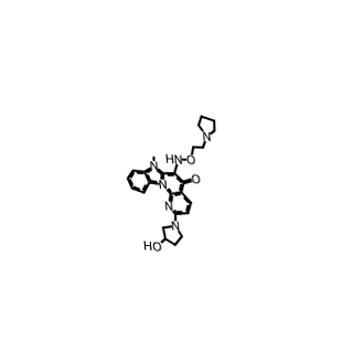 Cn1c2ccccc2n2c3nc(N4CCC(O)C4)ccc3c(=O)c(NOCCN3CCCC3)c12